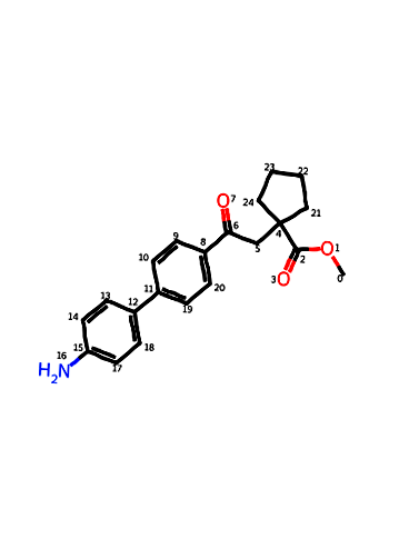 COC(=O)C1(CC(=O)c2ccc(-c3ccc(N)cc3)cc2)CCCC1